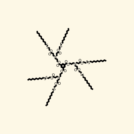 CCCCCCCCCCSSCCOC(=O)CCN(CCCOC(=O)c1cc(C(=O)OCCCN(CCC(=O)OCCSSCCCCCCCCCC)CCC(=O)OCCSSCCCCCCCCCC)cc(C(=O)OCCCN(CCC(=O)OCCSSCCCCCCCCCC)CCC(=O)OCCSSCCCCCCCCCC)c1)CCC(=O)OCCSSCCCCCCCCCC